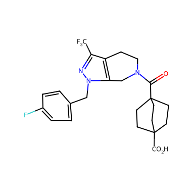 O=C(O)C12CCC(C(=O)N3CCc4c(C(F)(F)F)nn(Cc5ccc(F)cc5)c4C3)(CC1)CC2